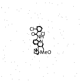 COCc1cnc2c(NC(=O)c3c(Cl)cccc3Cl)cccc2c1-n1cccn1